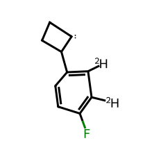 [2H]c1c(F)ccc(C2[C]CC2)c1[2H]